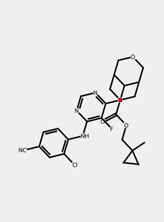 CC1(COC(=O)N2CC3COCC(C2)C3Oc2ncnc(Nc3ccc(C#N)cc3Cl)c2F)CC1